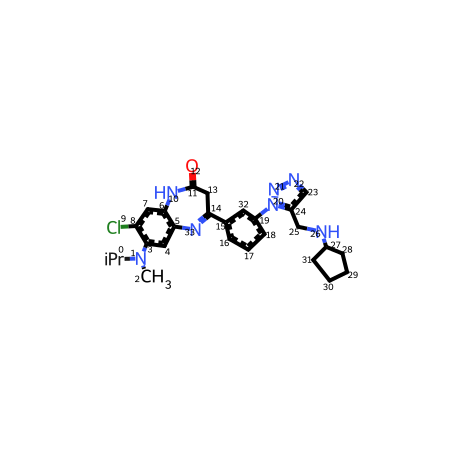 CC(C)N(C)c1cc2c(cc1Cl)NC(=O)CC(c1cccc(-n3nncc3CNC3CCCC3)c1)=N2